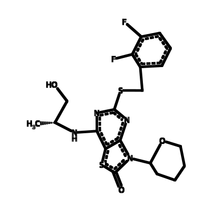 C[C@H](CO)Nc1nc(SCc2cccc(F)c2F)nc2c1sc(=O)n2C1CCCCO1